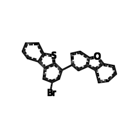 Brc1cc(-c2ccc3oc4ccccc4c3c2)c2sc3ccccc3c2c1